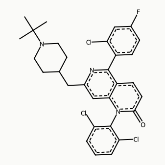 CC(C)(C)N1CCC(Cc2cc3c(ccc(=O)n3-c3c(Cl)cccc3Cl)c(-c3ccc(F)cc3Cl)n2)CC1